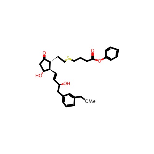 COCc1cccc(C[C@H](O)C=C[C@H]2[C@H](O)CC(=O)[C@@H]2CCSCCCC(=O)Oc2ccccc2)c1